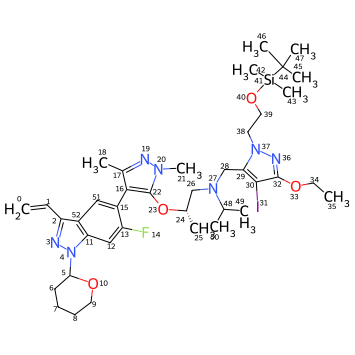 C=Cc1nn(C2CCCCO2)c2cc(F)c(-c3c(C)nn(C)c3O[C@@H](C)CN(Cc3c(I)c(OCC)nn3CCO[Si](C)(C)C(C)(C)C)C(C)C)cc12